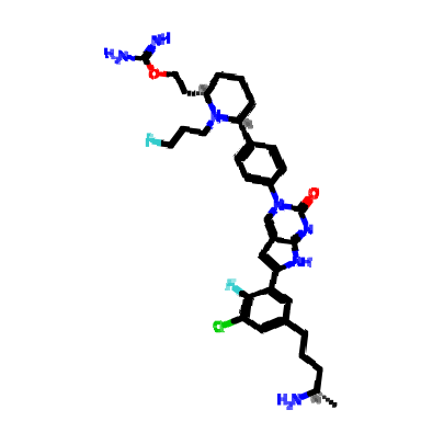 C[C@H](N)CCCc1cc(Cl)c(F)c(-c2cc3cn(-c4ccc([C@@H]5CCC[C@@H](CCOC(=N)N)N5CCCF)cc4)c(=O)nc3[nH]2)c1